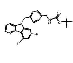 CC(C)(C)OC(=O)NCc1ccc(Cn2c3cccnc3c3c(F)cc(F)cc32)cc1